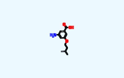 CC(C)CCOc1cc(N)cc(C(=O)O)c1